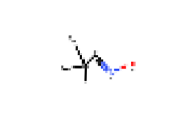 CCC(C)(C)C=NO